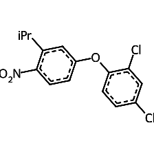 CC(C)c1cc(Oc2ccc(Cl)cc2Cl)ccc1[N+](=O)[O-]